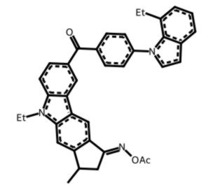 CCc1cccc2ccn(-c3ccc(C(=O)c4ccc5c(c4)c4cc6c(cc4n5CC)C(C)CC6=NOC(C)=O)cc3)c12